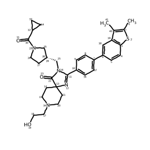 Cc1sc2ccc(-c3ccc(C4=NC5(CCN(CCO)CC5)C(=O)N4C[C@@H]4CCN(C(=O)C5CC5)C4)cc3)cc2c1C